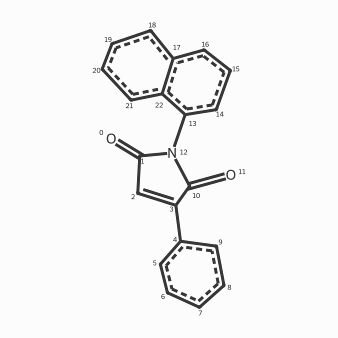 O=C1C=C(c2ccccc2)C(=O)N1c1cccc2ccccc12